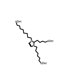 CCCCCCCCCCCCCCCCCCN1C=CN(CCCCCCCCCCCCCCCC)C1CCCCCCCCCCCCCC